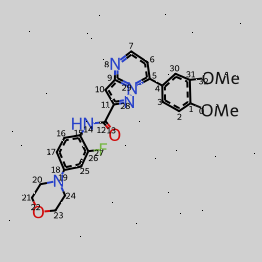 COc1ccc(-c2ccnc3cc(C(=O)Nc4ccc(N5CCOCC5)cc4F)nn23)cc1OC